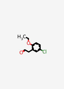 CCOc1ccc(Cl)cc1CC=O